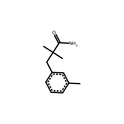 Cc1cccc(CC(C)(C)C(N)=O)c1